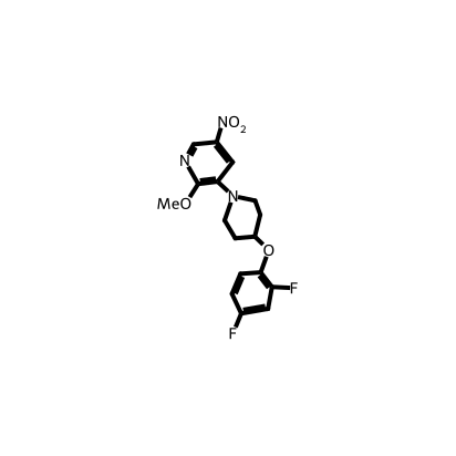 COc1ncc([N+](=O)[O-])cc1N1CCC(Oc2ccc(F)cc2F)CC1